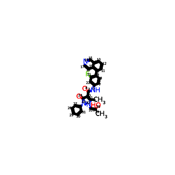 Cc1c(C(=O)Nc2ccc(-c3cccc4cnccc34)c(F)c2)c(=O)n(-c2ccccc2)n1C[C@@H](C)O